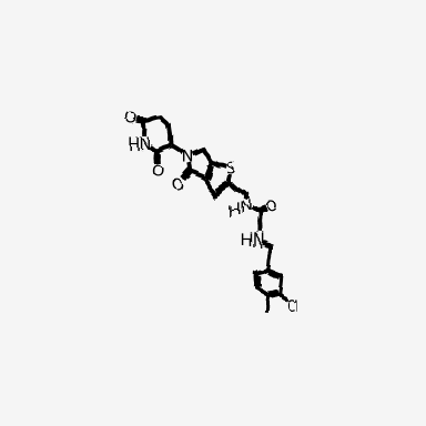 Cc1ccc(CNC(=O)NCc2cc3c(s2)CN(C2CCC(=O)NC2=O)C3=O)cc1Cl